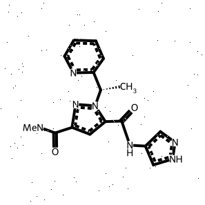 CNC(=O)c1cc(C(=O)Nc2cn[nH]c2)n([C@@H](C)c2ccccn2)n1